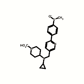 C[S+]([O-])c1ccc(-c2ccc(CN(C3CC3)C3CCN(C(=O)O)CC3)cn2)cc1